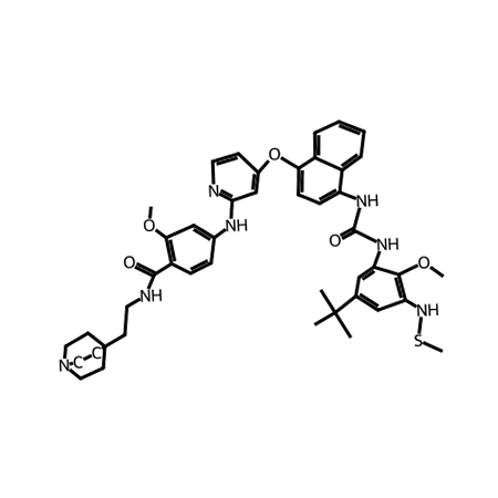 COc1cc(Nc2cc(Oc3ccc(NC(=O)Nc4cc(C(C)(C)C)cc(NSC)c4OC)c4ccccc34)ccn2)ccc1C(=O)NCCC12CCN(CC1)CC2